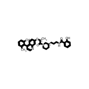 Cc1cccc(C)c1-c1ccnc2cc(O[C@H](C)C(=O)N3CCC[C@H](CCCNC(=O)c4ccccc4O)C3)ccc12